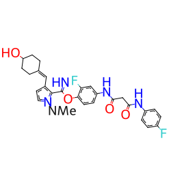 CNn1ccc(C=C2CCC(O)CC2)c1C(=N)Oc1ccc(NC(=O)CC(=O)Nc2ccc(F)cc2)cc1F